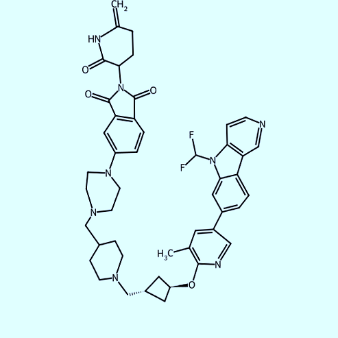 C=C1CCC(N2C(=O)c3ccc(N4CCN(CC5CCN(C[C@H]6C[C@H](Oc7ncc(-c8ccc9c%10cnccc%10n(C(F)F)c9c8)cc7C)C6)CC5)CC4)cc3C2=O)C(=O)N1